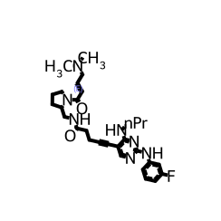 CCCNc1nc(Nc2cccc(F)c2)ncc1C#CCCC(=O)NCC1CCCN1C(=O)/C=C/CN(C)C